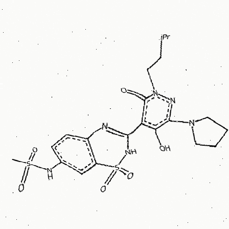 CC(C)CCn1nc(N2CCCC2)c(O)c(C2=Nc3ccc(NS(C)(=O)=O)cc3S(=O)(=O)N2)c1=O